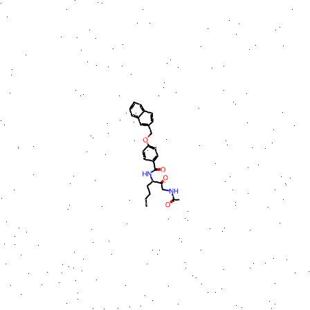 CCCCC(NC(=O)c1ccc(OCc2ccc3ccccc3c2)cc1)C(=O)CNC(C)=O